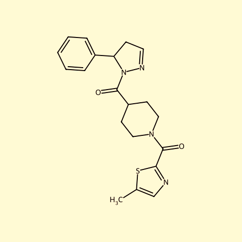 Cc1cnc(C(=O)N2CCC(C(=O)N3N=CCC3c3ccccc3)CC2)s1